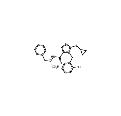 O=C(N[C@@H](Cc1ccccc1)C(=O)O)c1cnc(SC2CC2)n1Cc1ccccc1Cl